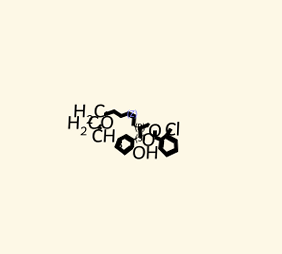 C=C(C)OC(=C)CC/C=C\C[C@@H]1COC(c2ccccc2Cl)O[C@@H]1c1ccccc1O